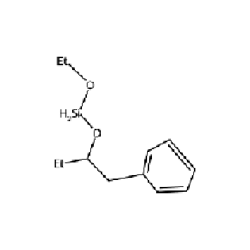 CCO[SiH2]OC(CC)Cc1ccccc1